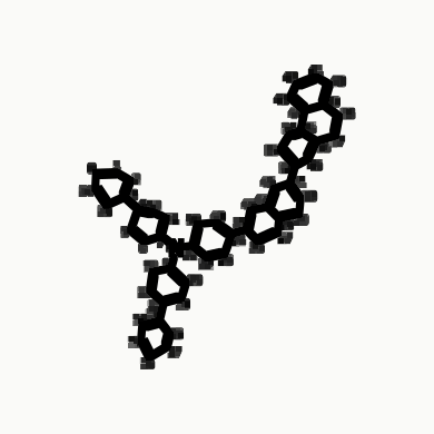 c1ccc(-c2ccc(N(c3ccc(-c4ccccc4)cc3)c3ccc(-c4ccc5ccc(-c6ccc7c(ccc8ccccc87)c6)cc5c4)cc3)cc2)cc1